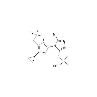 CC1(C)Cc2c(C3CC3)sc(-n3c(Br)nnc3SC(C)(C)C(=O)O)c2C1